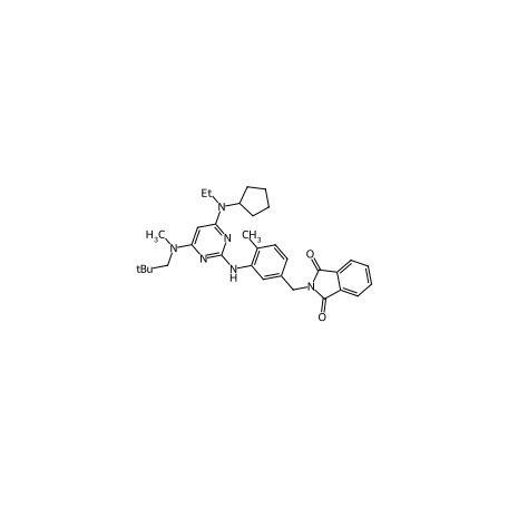 CCN(c1cc(N(C)CC(C)(C)C)nc(Nc2cc(CN3C(=O)c4ccccc4C3=O)ccc2C)n1)C1CCCC1